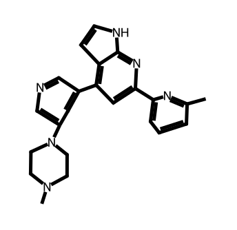 Cc1cccc(-c2cc(-c3cncc(N4CCN(C)CC4)c3)c3cc[nH]c3n2)n1